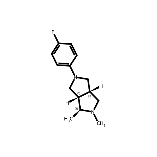 C[C@H]1[C@@H]2CN(c3ccc(F)cc3)C[C@@H]2CN1C